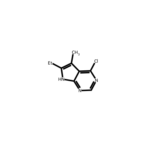 CCc1[nH]c2ncnc(Cl)c2c1C